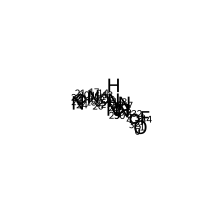 COc1ccc(-c2cnc3c(Nc4ccc(N(C)Cc5cccnc5)c(C)c4)nccn23)cc1F